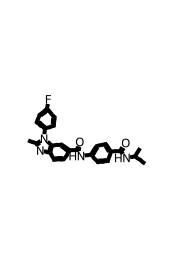 Cc1nc2ccc(C(=O)Nc3ccc(C(=O)NC(C)C)cc3)cc2n1-c1ccc(F)cc1